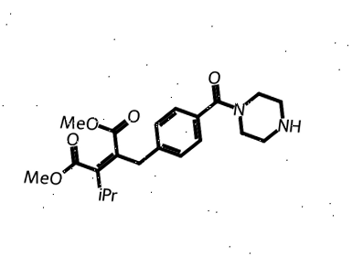 COC(=O)/C(Cc1ccc(C(=O)N2CCNCC2)cc1)=C(\C(=O)OC)C(C)C